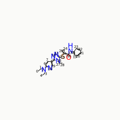 CCN(CC)c1ccc(-c2nnc(SC3(C(=O)Nc4ccccc4)CC3)n2CC)cn1